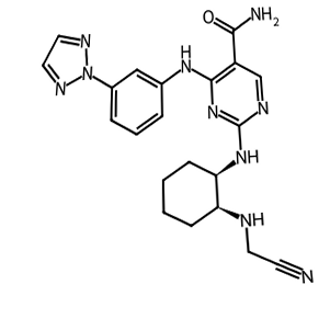 N#CCN[C@H]1CCCC[C@H]1Nc1ncc(C(N)=O)c(Nc2cccc(-n3nccn3)c2)n1